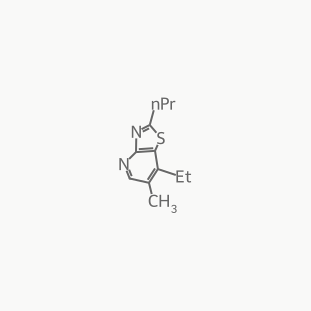 CCCc1nc2ncc(C)c(CC)c2s1